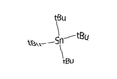 C[C](C)(C)[Sn]([C](C)(C)C)([C](C)(C)C)[C](C)(C)C